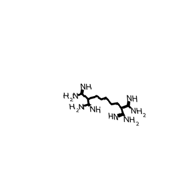 N=C(N)C(CCCCCC(C(=N)N)C(=N)N)C(=N)N